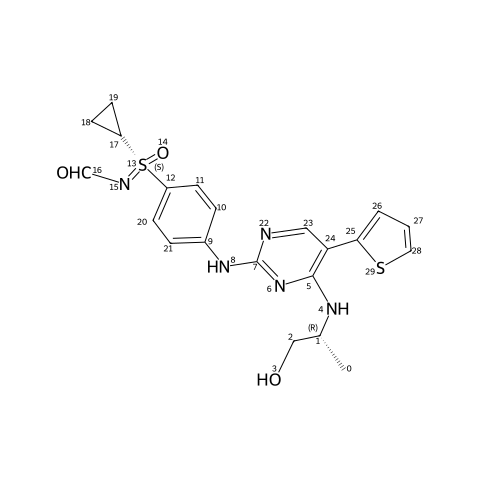 C[C@H](CO)Nc1nc(Nc2ccc([S@](=O)(=NC=O)C3CC3)cc2)ncc1-c1cccs1